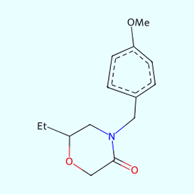 CCC1CN(Cc2ccc(OC)cc2)C(=O)CO1